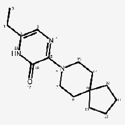 CCc1cnc(N2CCC3(CCCC3)CC2)c(=O)[nH]1